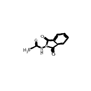 BC(=O)NN1C(=O)c2ccccc2C1=O